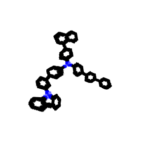 c1ccc(-c2ccc(-c3ccc(N(c4ccc(-c5cccc(-n6c7ccccc7c7ccccc76)c5)cc4)c4ccc(-c5cccc6ccccc56)cc4)cc3)cc2)cc1